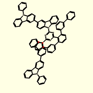 c1ccc(-c2cccc(-c3cccc(-c4cccc(-c5ccccc5)c4)c3-c3nc(-n4c5ccccc5c5cc(-c6ccc7c(c6)c6ccccc6n7-c6ccccc6)ccc54)nc(-n4c5ccccc5c5cc(-c6ccc7c(c6)c6ccccc6n7-c6ccccc6)ccc54)n3)c2)cc1